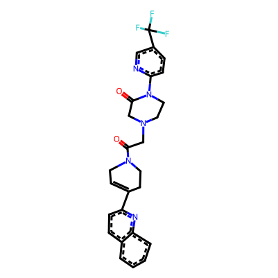 O=C(CN1CCN(c2ccc(C(F)(F)F)cn2)C(=O)C1)N1CC=C(c2ccc3ccccc3n2)CC1